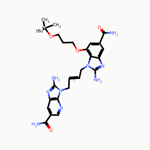 CC(C)(C)[Si](C)(C)OCCCOc1cc(C(N)=O)cc2nc(N)n(C/C=C/Cn3c(N)nc4cc(C(N)=O)cnc43)c12